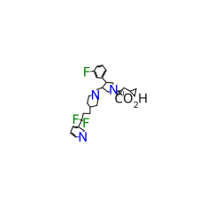 O=C(O)[C@@H](CC1CC1)N1CC(CN2CCC(CCC(F)(F)c3cccnc3)CC2)C(c2cccc(F)c2)C1